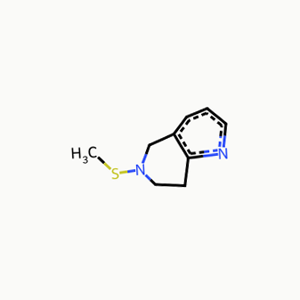 CSN1CCc2ncccc2C1